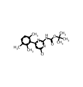 Cc1ccc(C)c(-c2cc(Cl)nc(NC(=O)OC(C)(C)C)n2)c1C